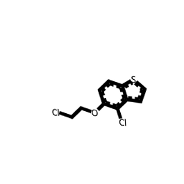 ClCCOc1ccc2sccc2c1Cl